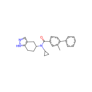 Cc1cc(C(=O)N(C2CC2)C2CCc3[nH]ncc3C2)ccc1-c1ccccc1